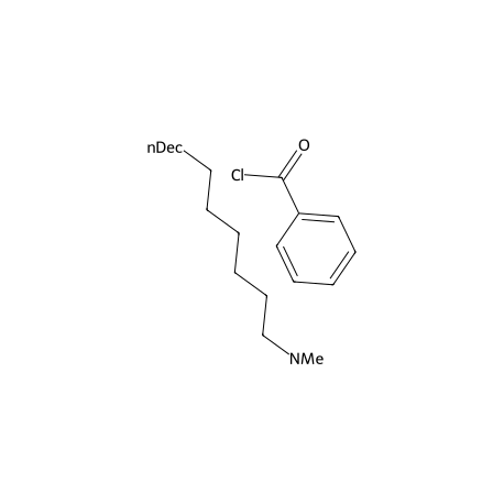 CCCCCCCCCCCCCCCCNC.O=C(Cl)c1ccccc1